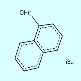 CC[C@H](C)c1ccc(C=O)c2ccccc12